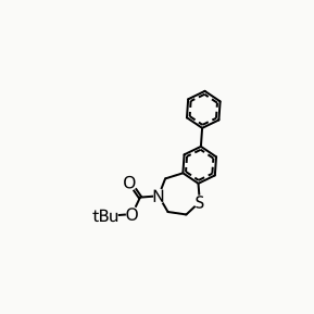 CC(C)(C)OC(=O)N1CCSc2ccc(-c3ccccc3)cc2C1